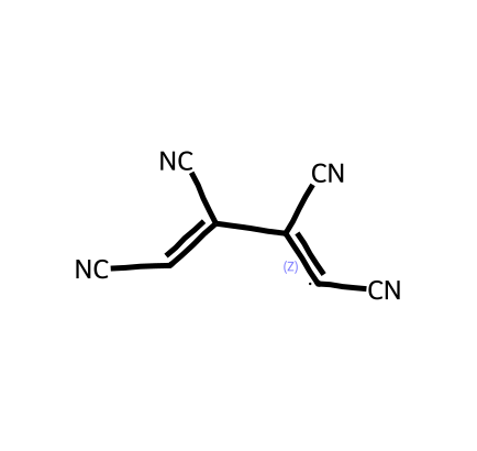 N#C/[C]=C(\C#N)C(C#N)=CC#N